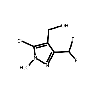 Cn1nc(C(F)F)c(CO)c1Cl